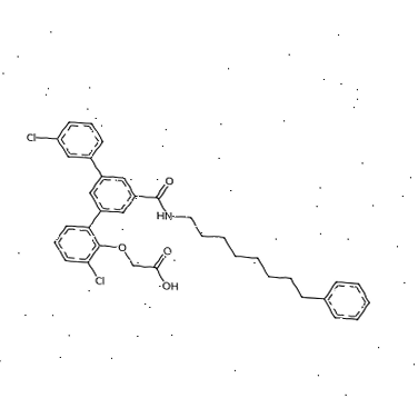 O=C(O)COc1c(Cl)cccc1-c1cc(C(=O)NCCCCCCCCc2ccccc2)cc(-c2cccc(Cl)c2)c1